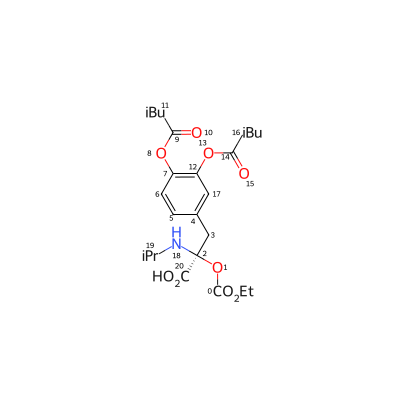 CCOC(=O)O[C@](Cc1ccc(OC(=O)C(C)CC)c(OC(=O)C(C)CC)c1)(NC(C)C)C(=O)O